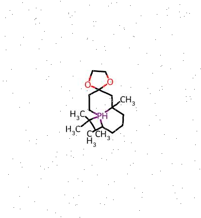 CC1CCCC2(C)CC3(CC[PH]12C(C)(C)C)OCCO3